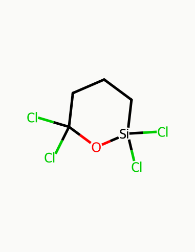 ClC1(Cl)CCC[Si](Cl)(Cl)O1